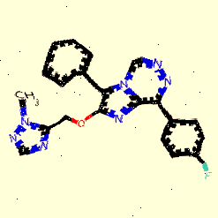 Cn1ncnc1COc1nc2c(-c3ccc(F)cc3)nncn2c1-c1ccccc1